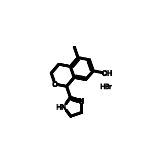 Br.Cc1cc(O)cc2c1CCOC2C1=NCCN1